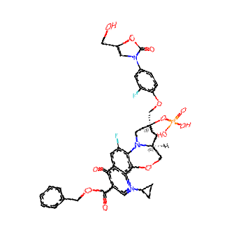 O=C(OCc1ccccc1)c1cn(C2CC2)c2c3c(c(F)cc2c1=O)N1C[C@@](COc2ccc(N4CC(CO)OC4=O)cc2F)(OP(=O)(O)O)C[C@H]1CO3